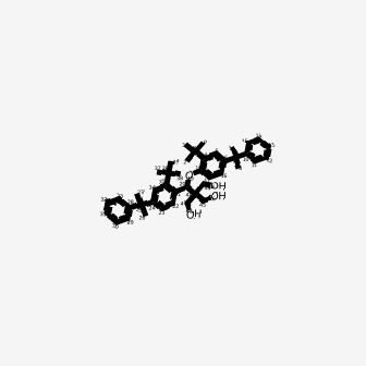 CC(C)(C)c1cc(C(C)(C)c2ccccc2)ccc1OC(c1ccc(C(C)(C)c2ccccc2)cc1C(C)(C)C)C(CO)(CO)CO